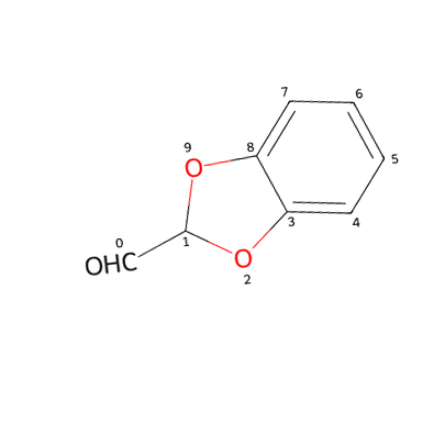 O=CC1Oc2ccccc2O1